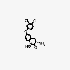 N[C@H]1Cc2cc(Oc3ccc(Cl)c(Cl)c3)ccc2N(O)C1=O